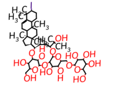 CC(C)(O)C1CC[C@H]([C@H]2CC[C@@]3(C)C4CC=C5C(CC[C@H](I)C5(C)C)[C@]4(C)CC[C@]23C)OC2C(O)C(CO)OC(OC3C(OC(COC4OC(CO)C(O)C(O)C4O)C(O)C3O)O1)C2O